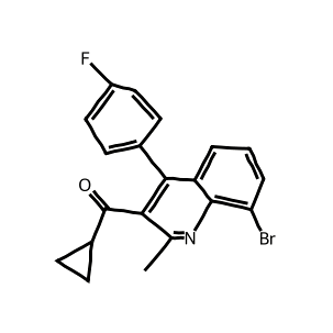 Cc1nc2c(Br)cccc2c(-c2ccc(F)cc2)c1C(=O)C1CC1